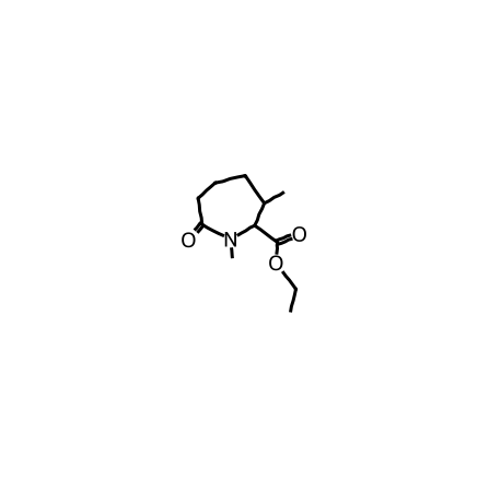 CCOC(=O)C1C(C)CCCC(=O)N1C